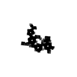 COc1cc(N2CC[C@@H](N(C)C)C2)c([N+](=O)[O-])cc1Nc1nccc(Nc2cc(Cl)c(F)cc2C(C)(C)O)n1